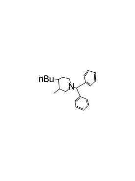 CCCCC1CCN(C(c2ccccc2)c2ccccc2)CC1C